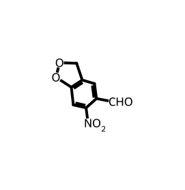 O=Cc1cc2c(cc1[N+](=O)[O-])OOC2